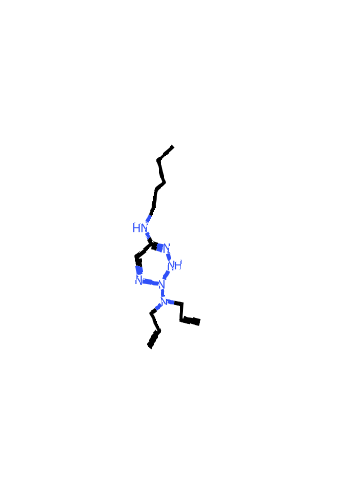 C=CCN(CC=C)N1N=CC(NCCCCC)=NN1